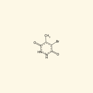 Cc1c(Br)c(=O)[nH][nH]c1=O